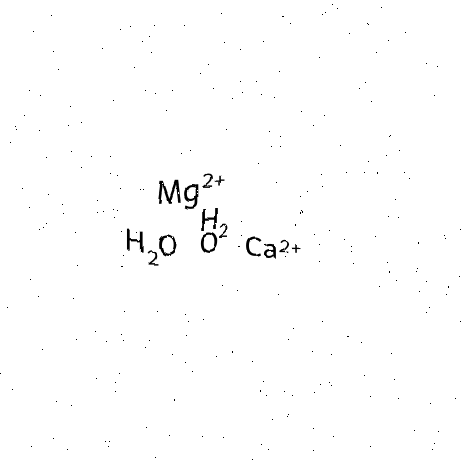 O.O.[Ca+2].[Mg+2]